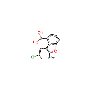 CCCc1oc2cccc(B(O)O)c2c1/C=C(\C)Cl